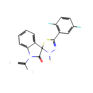 C=C(C)N1C(=O)C2(SC(c3cc(F)ccc3F)=NN2C(C)=O)c2ccccc21